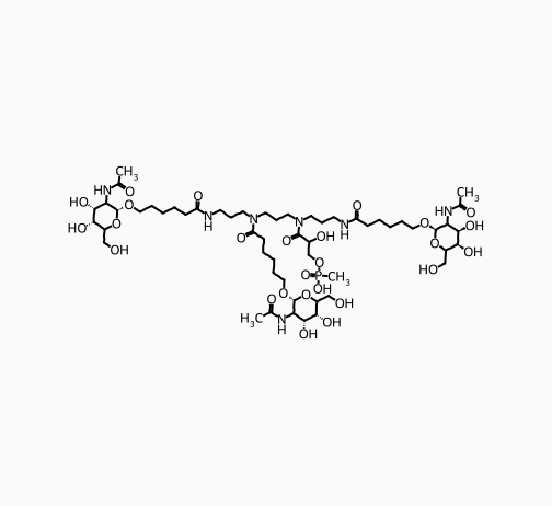 CC(=O)NC1[C@H](OCCCCCC(=O)NCCCN(CCCN(CCCNC(=O)CCCCCO[C@@H]2OC(CO)[C@H](O)[C@H](O)C2NC(C)=O)C(=O)C(O)COP(C)(=O)O)C(=O)CCCCCO[C@@H]2OC(CO)[C@H](O)[C@H](O)C2NC(C)=O)OC(CO)[C@H](O)[C@@H]1O